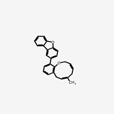 C/C1=C/Cc2cccc(-c3ccc4oc5ccccc5c4c3)c2OC/C=C\C1